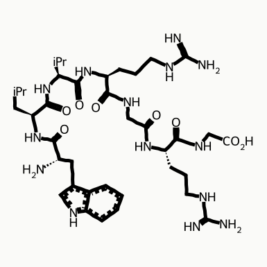 CC(C)C[C@H](NC(=O)[C@@H](N)Cc1c[nH]c2ccccc12)C(=O)N[C@H](C(=O)N[C@@H](CCCNC(=N)N)C(=O)NCC(=O)N[C@@H](CCCNC(=N)N)C(=O)NCC(=O)O)C(C)C